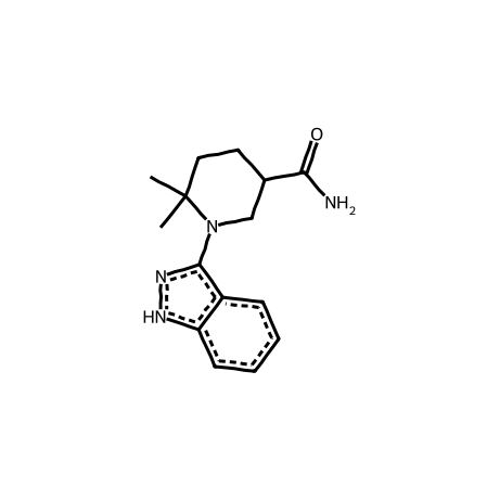 CC1(C)CCC(C(N)=O)CN1c1n[nH]c2ccccc12